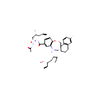 C=CC[C@H](C)[C@@H](C)S(=O)(=NC(=O)c1ccc2c(c1)N(C[C@@H]1CC[C@H]1[C@H](C=C)OC)C[C@@]1(CCCc3cc(Cl)ccc31)CO2)NC(C)=O